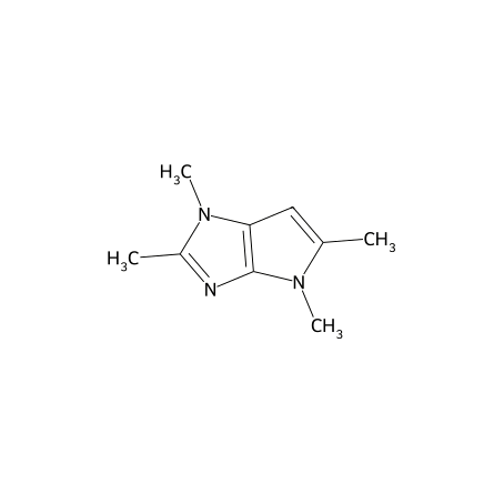 Cc1nc2c(cc(C)n2C)n1C